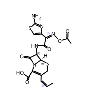 C/C=C\C1=C(C(=O)O)N2C(=O)[C@@H](NC(=O)/C(=N\OC(C)=O)c3csc(N)n3)[C@H]2SC1